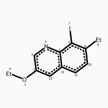 CCOc1cnc2c(I)c(CC)ccc2c1